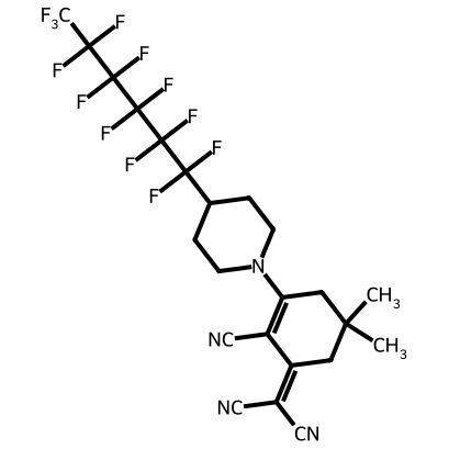 CC1(C)CC(=C(C#N)C#N)C(C#N)=C(N2CCC(C(F)(F)C(F)(F)C(F)(F)C(F)(F)C(F)(F)C(F)(F)F)CC2)C1